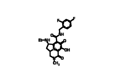 CCN[C@@H]1CC2CN(C)C(=O)c3c(O)c(=O)c(C(=O)NCc4ccc(F)cc4F)c1n32